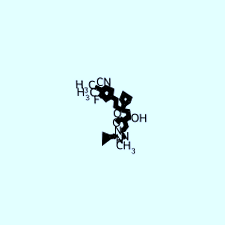 Cn1nc(CC2=C(O)CC(CCc3ccc(C(C)(C)C#N)c(F)c3)(C3CCCC3)OC2=O)nc1C1CC1